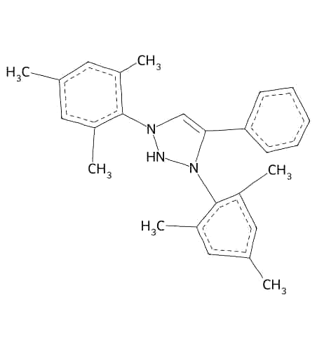 Cc1cc(C)c(N2C=C(c3ccccc3)N(c3c(C)cc(C)cc3C)N2)c(C)c1